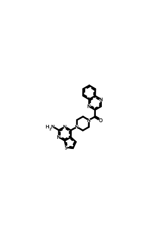 Nc1nc(N2CCN(C(=O)c3cnc4ccccc4n3)CC2)c2ccsc2n1